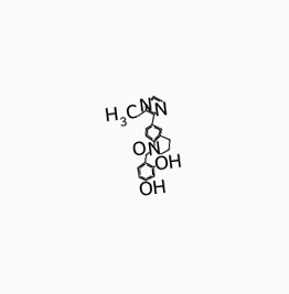 CCc1nccnc1-c1ccc2c(c1)CCCN2C(=O)c1ccc(O)cc1O